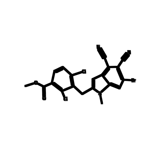 COC(=O)c1ccc(Cl)c(Cc2cc3c(C#N)c(C#N)c(Br)cc3n2C)c1Cl